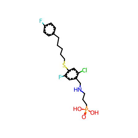 O=P(O)(O)CCCNCc1cc(F)c(SCCCCCc2ccc(F)cc2)cc1Cl